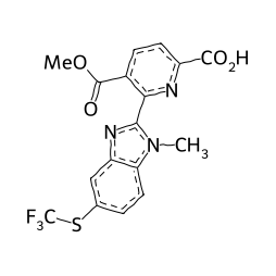 COC(=O)c1ccc(C(=O)O)nc1-c1nc2cc(SC(F)(F)F)ccc2n1C